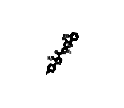 CCN(CC(O)(CNC(=O)c1cnn(-c2ccc(F)cc2)c1N)C(F)(F)F)C(=O)c1ccccc1C(F)(F)F